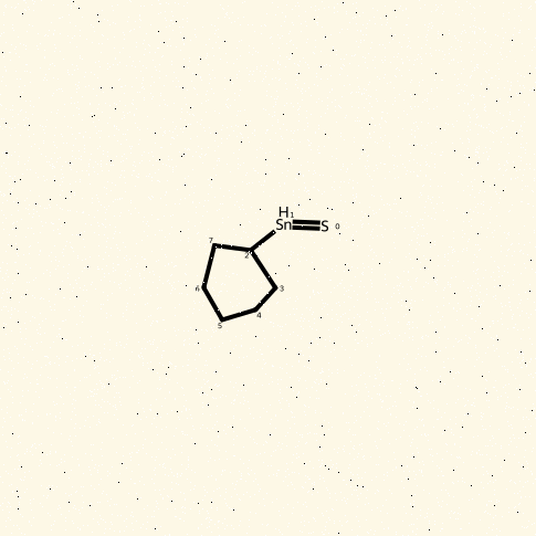 [S]=[SnH][CH]1CCCCC1